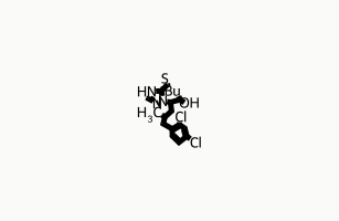 CC(Cc1ccc(Cl)cc1Cl)CC(C(O)C(C)(C)C)N1N=CNC1C=S